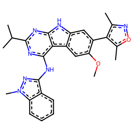 COc1cc2c(cc1-c1c(C)noc1C)[nH]c1nc(C(C)C)nc(Nc3nn(C)c4ccccc34)c12